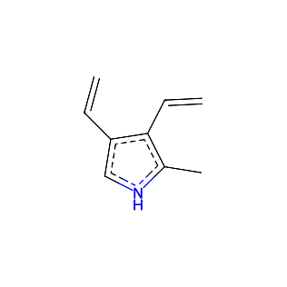 C=Cc1c[nH]c(C)c1C=C